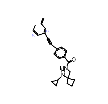 C=C/C=C(C#Cc1ccc(C(=O)NCC2(NC3CC3)CCC2)cc1)\C=C/C